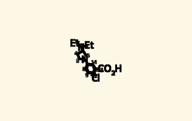 CCN(CC)C1CCN(c2ccc(Cl)c(C(=O)O)c2)C1